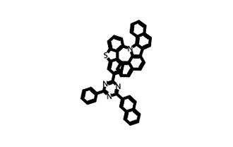 c1ccc(-c2nc(-c3ccc4ccccc4c3)nc(-c3ccc4c(c3)sc3cccc(-n5c6c7ccccc7ccc6c6ccc7ccccc7c65)c34)n2)cc1